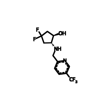 O[C@@H]1CC(F)(F)C[C@H]1NCc1ccc(C(F)(F)F)cn1